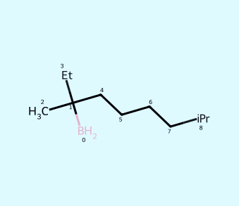 BC(C)(CC)CCCCC(C)C